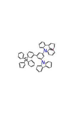 c1ccc(-c2ccccc2N(c2ccccc2)c2cc(-c3cccc([Si](c4ccccc4)(c4ccccc4)c4ccccc4)c3)cc(-n3c4ccccc4c4ccccc43)c2)cc1